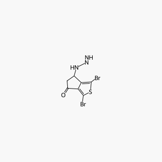 N=NNC1CC(=O)c2c(Br)sc(Br)c21